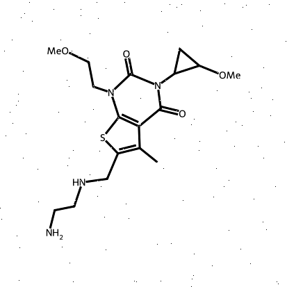 COCCn1c(=O)n(C2CC2OC)c(=O)c2c(C)c(CNCCN)sc21